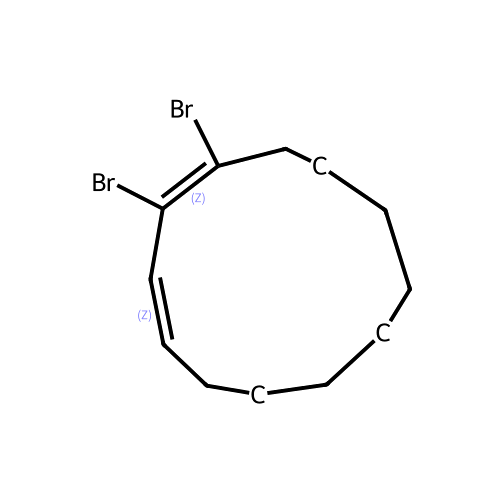 BrC1=C(\Br)CCCCCCCC/C=C\1